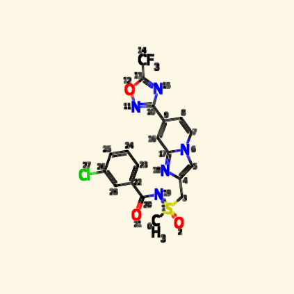 CS(=O)(Cc1cn2ccc(-c3noc(C(F)(F)F)n3)cc2n1)=NC(=O)c1cccc(Cl)c1